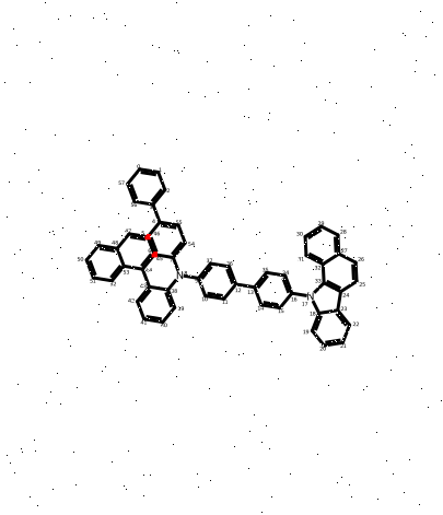 c1ccc(-c2ccc(N(c3ccc(-c4ccc(-n5c6ccccc6c6ccc7ccccc7c65)cc4)cc3)c3ccccc3-c3cccc4ccccc34)cc2)cc1